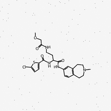 COCC(=O)NCCC(NC(=O)c1ccc(Cl)s1)C(=O)Nc1ccc2c(c1)CCN(C)CC2